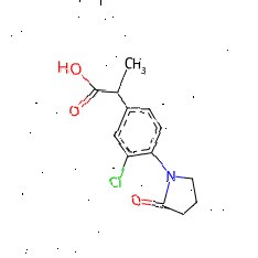 CC(C(=O)O)c1ccc(N2CCCC2=O)c(Cl)c1